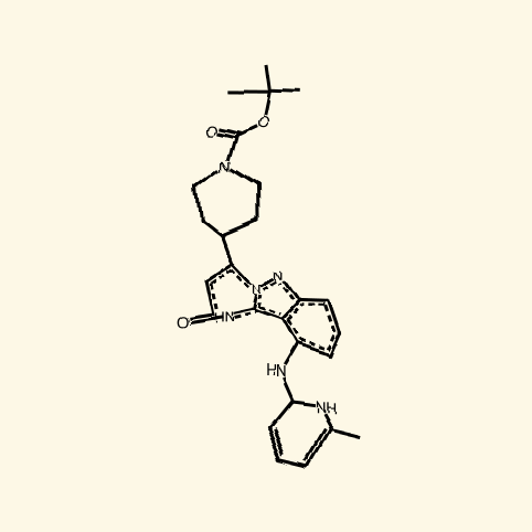 CC1=CC=CC(Nc2cccc3nn4c(C5CCN(C(=O)OC(C)(C)C)CC5)cc(=O)[nH]c4c23)N1